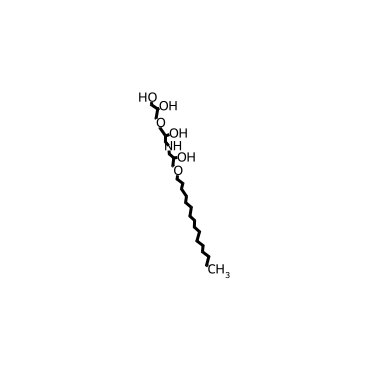 CCCCCCCCCCCCCCCCOCC(O)CNCC(O)COCC(O)CO